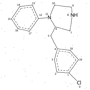 Clc1ccc(CC2CNCCN2c2ccccc2)cc1